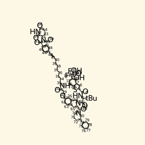 CC(C)(C)[C@H](NC(=O)c1cc2cc(C(F)(F)P(=O)(O)O)ccc2s1)C(=O)N1Cc2cc(OCC(=O)NCCCCCCCCC#Cc3ccc4c(c3)C(=O)N(C3CCC(=O)NC3=O)C4=O)ccc2C[C@H]1C(=O)N1CCCC(c2ccccc2)C1